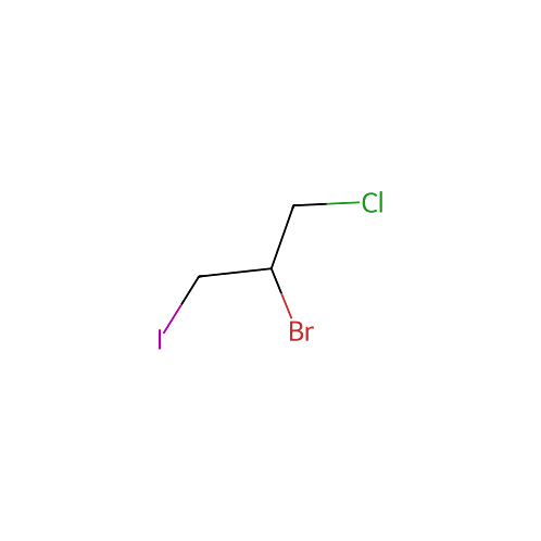 ClCC(Br)CI